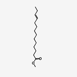 CCC=CCCCCCCCCCC(=O)OC